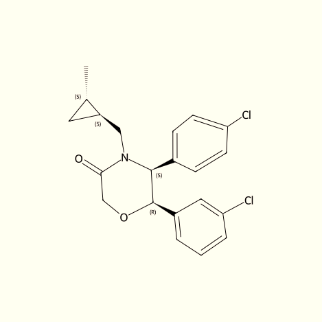 C[C@H]1C[C@@H]1CN1C(=O)CO[C@H](c2cccc(Cl)c2)[C@@H]1c1ccc(Cl)cc1